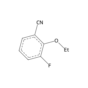 CCOc1c(F)cccc1C#N